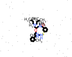 Cc1cccc(C)c1-c1cc2nc(n1)NSc1cccc(c1)C(=O)N(C)CC(CN(CCC(C)(C)C)CCC(C)(C)C)O2